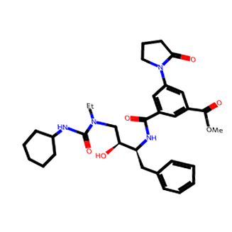 CCN(C[C@H](O)[C@H](Cc1ccccc1)NC(=O)c1cc(C(=O)OC)cc(N2CCCC2=O)c1)C(=O)NC1CCCCC1